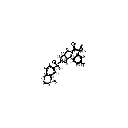 CN1CCOc2ccc(S(=O)(=O)N3CC4CN(C(=O)C5(c6cccc(F)c6)CC5)CC4C3)cc21